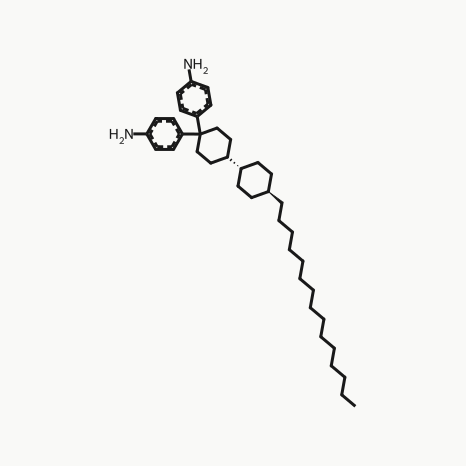 CCCCCCCCCCCCCCC[C@H]1CC[C@H](C2CCC(c3ccc(N)cc3)(c3ccc(N)cc3)CC2)CC1